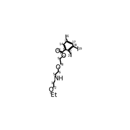 CCOCCNCCOCCOC(=O)c1cc(I)cc(I)c1I